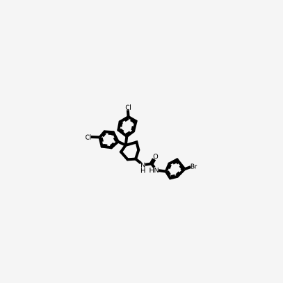 O=C(Nc1ccc(Br)cc1)NC1CCC(c2ccc(Cl)cc2)(c2ccc(Cl)cc2)CC1